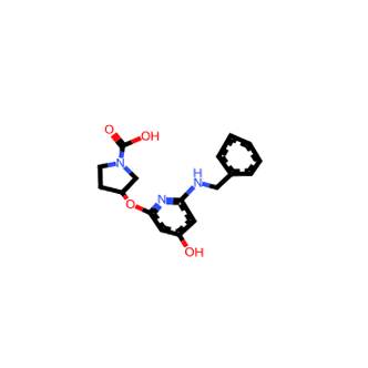 O=C(O)N1CCC(Oc2cc(O)cc(NCc3ccccc3)n2)C1